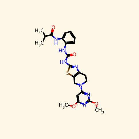 COc1cc(N2CCc3nc(NC(=O)Nc4ccccc4NC(=O)C(C)C)sc3C2)nc(OC)n1